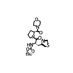 CC(C)(C)OC(=O)N[C@@H](Cc1cscn1)C(=O)N1CCC[C@H]1C(=O)N1CCOCC1